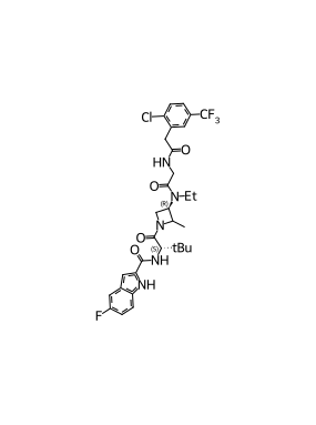 CCN(C(=O)CNC(=O)Cc1cc(C(F)(F)F)ccc1Cl)[C@@H]1CN(C(=O)[C@@H](NC(=O)c2cc3cc(F)ccc3[nH]2)C(C)(C)C)C1C